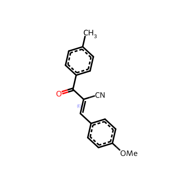 COc1ccc(/C=C(\C#N)C(=O)c2ccc(C)cc2)cc1